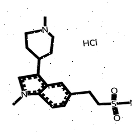 CN1CCC(c2cn(C)c3ccc(CCS(N)(=O)=O)cc23)CC1.Cl